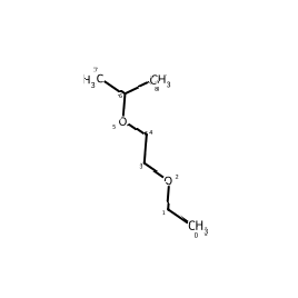 CCOC[CH]OC(C)C